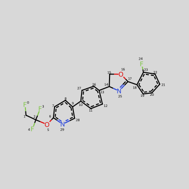 FCC(F)(F)Oc1ccc(-c2ccc(C3COC(c4ccccc4F)=N3)cc2)cn1